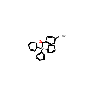 COc1ccc(C(=O)[Si](c2ccccc2)(c2ccccc2)c2ccccc2)cc1